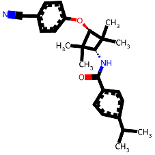 CC(C)c1ccc(C(=O)N[C@H]2C(C)(C)[C@H](Oc3ccc(C#N)cc3)C2(C)C)cc1